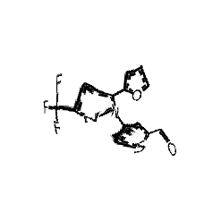 O=Cc1cc(-n2nc(C(F)(F)F)cc2-c2ccco2)cs1